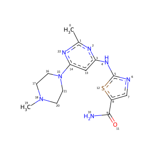 Cc1nc(Nc2ncc(C(N)=O)s2)cc(N2CCN(C)CC2)n1